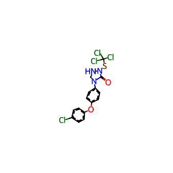 O=C1N(SC(Cl)(Cl)Cl)NCN1c1ccc(Oc2ccc(Cl)cc2)cc1